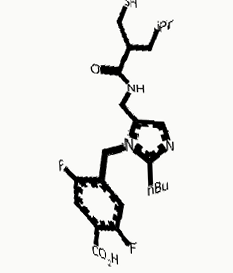 CCCCc1ncc(CNC(=O)C(CS)CC(C)C)n1Cc1cc(F)c(C(=O)O)cc1F